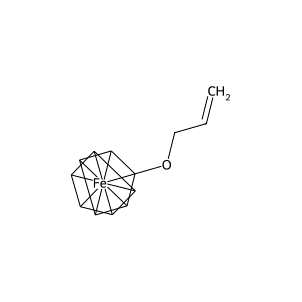 C=CCO[C]12[CH]3[CH]4[CH]5[CH]1[Fe]45321678[CH]2[CH]1[CH]6[CH]7[CH]28